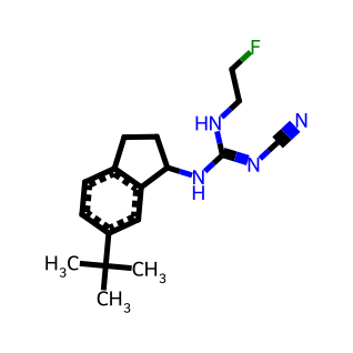 CC(C)(C)c1ccc2c(c1)C(N/C(=N/C#N)NCCF)CC2